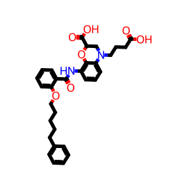 O=C(O)CCCN1CC(C(=O)O)Oc2c(NC(=O)c3ccccc3OCCCCCc3ccccc3)cccc21